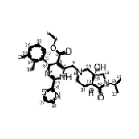 CCOC(=O)C1=C(CN2CC[C@@H]3C(=O)N(C(C)C)C[C@]3(O)C2)NC(c2nccs2)=N[C@H]1c1cccc(F)c1C